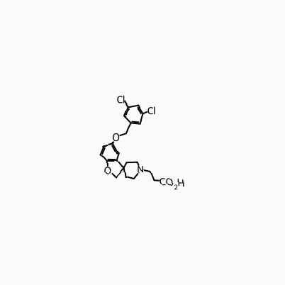 O=C(O)CCN1CCC2(CC1)COc1ccc(OCc3cc(Cl)cc(Cl)c3)cc12